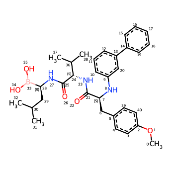 COc1ccc(C[C@H](Nc2cccc(-c3ccccc3)c2)C(=O)N[C@H](C(=O)N[C@@H](CC(C)C)B(O)O)C(C)C)cc1